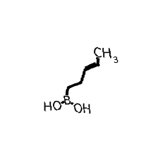 CC=CCCB(O)O